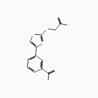 CC(=O)c1cccc(-c2csc(SCC(=O)O)n2)c1